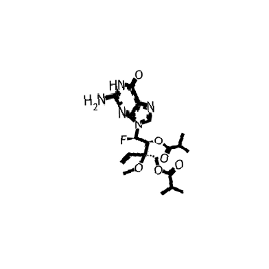 C=C[C@](COC(=O)C(C)C)(OC)[C@@H](OC(=O)C(C)C)[C@@H](F)n1cnc2c(=O)[nH]c(N)nc21